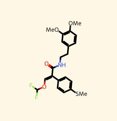 COc1ccc(CCNC(=O)C(=COC(F)F)c2ccc(SC)cc2)cc1OC